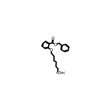 CCCCCCCCCCCCCCCCOc1ccccc1C(=O)OCc1ccccc1